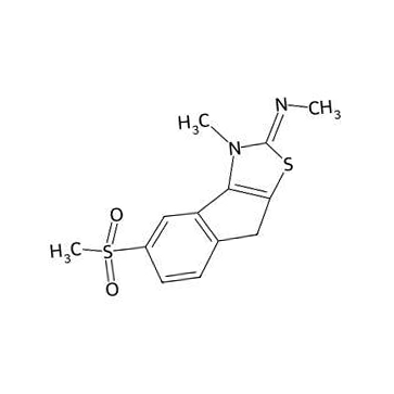 CN=c1sc2c(n1C)-c1cc(S(C)(=O)=O)ccc1C2